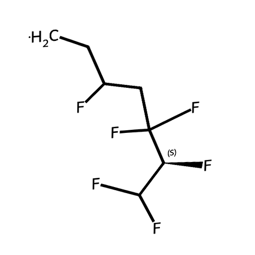 [CH2]CC(F)CC(F)(F)[C@@H](F)C(F)F